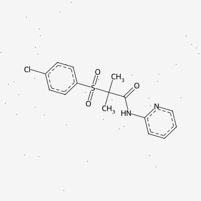 CC(C)(C(=O)Nc1ccccn1)S(=O)(=O)c1ccc(Cl)cc1